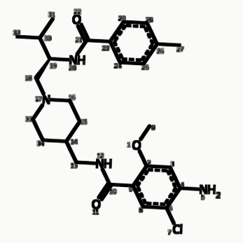 COc1cc(N)c(Cl)cc1C(=O)NCC1CCN(C[C@H](NC(=O)c2ccc(C)cc2)C(C)C)CC1